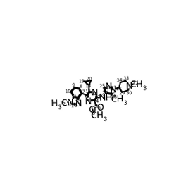 COC(=O)c1nc(-c2cccc3c2ncn3C)c(C2CC2)nc1Nc1cnn(C2CCN(C)CC2)c1C